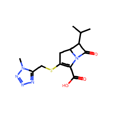 CC(C)C1C(=O)N2C(C(=O)O)=C(SCc3nnnn3C)CC12